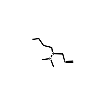 C=NCN(CCCC)N(C)C